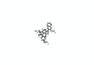 Cc1cc2ncccc2cc1Nc1ncc2c(n1)n([C@@H]1CCN(C)C[C@@H]1F)c(=O)n2C